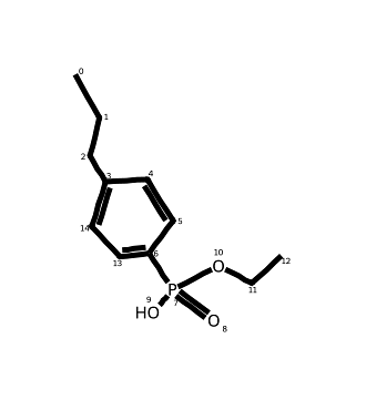 CCCc1ccc(P(=O)(O)OCC)cc1